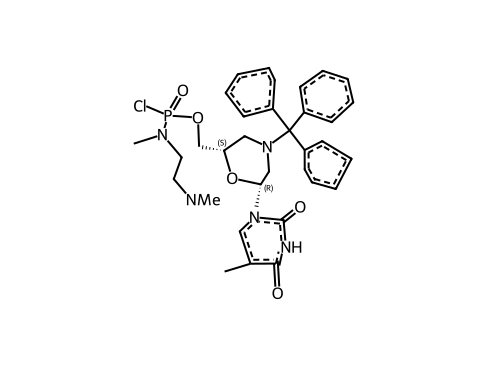 CNCCN(C)P(=O)(Cl)OC[C@@H]1CN(C(c2ccccc2)(c2ccccc2)c2ccccc2)C[C@H](n2cc(C)c(=O)[nH]c2=O)O1